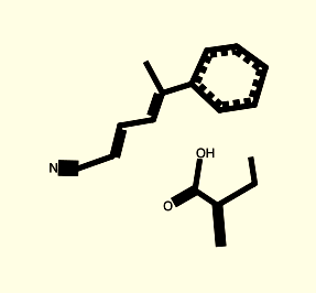 C=C(CC)C(=O)O.CC(=CC=CC#N)c1ccccc1